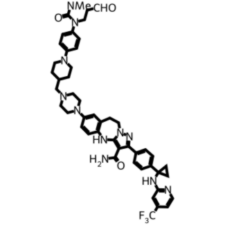 CNC(=O)N(CCC=O)c1ccc(N2CCC(CN3CCN(c4ccc5c(c4)CCn4nc(-c6ccc(C7(Nc8cc(C(F)(F)F)ccn8)CC7)cc6)c(C(N)=O)c4N5)CC3)CC2)cc1